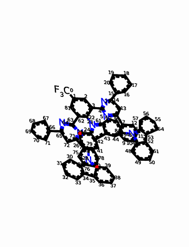 FC(F)(F)c1cc(-c2nc(-c3ccccc3)cc(-c3ccccc3)n2)c(-n2c3ccc(-n4c5ccccc5c5ccccc54)cc3c3cc(-n4c5ccccc5c5ccccc54)ccc32)c(-c2nc(-c3ccccc3)cc(-c3ccccc3)n2)c1